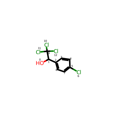 OC(c1ccc(Cl)cc1)C(Cl)(Cl)Cl